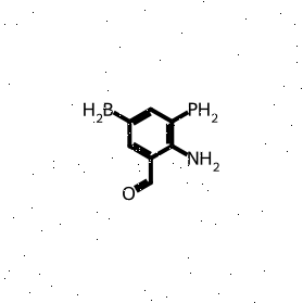 Bc1cc(P)c(N)c(C=O)c1